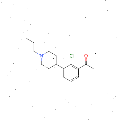 CCCN1CCC(c2cccc(C(C)=O)c2Cl)CC1